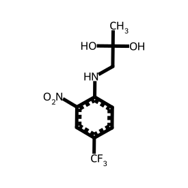 CC(O)(O)CNc1ccc(C(F)(F)F)cc1[N+](=O)[O-]